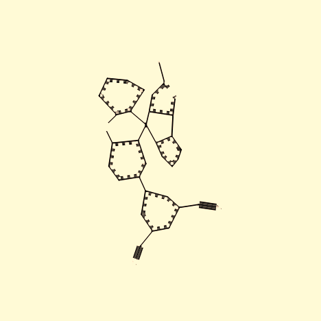 N#Cc1cc(C#N)cc(-c2ccc3c(c2)C2(c4ccccc4O3)c3ccccc3-c3ccc(Cl)cc32)c1